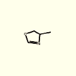 CC1COC=N1